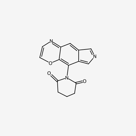 O=C1CCCC(=O)N1c1c2cncc2cc2nccoc12